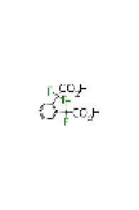 O=C(O)C(F)(F)c1ccccc1C(F)(F)C(=O)O